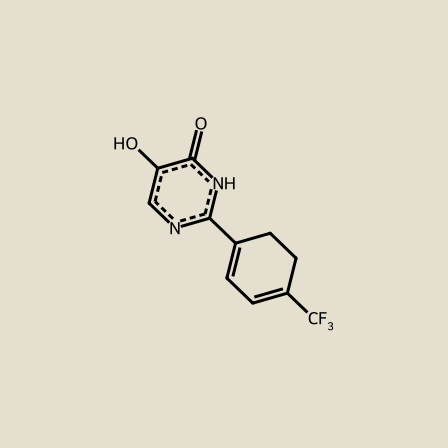 O=c1[nH]c(C2=CC=C(C(F)(F)F)CC2)ncc1O